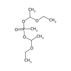 CCOC(C)OP(C)(=O)OC(C)OCC